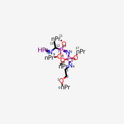 CCCOCCN=P(N=P(OCCC)(OCCC)C(C)N=P)(OCCC)OCCC